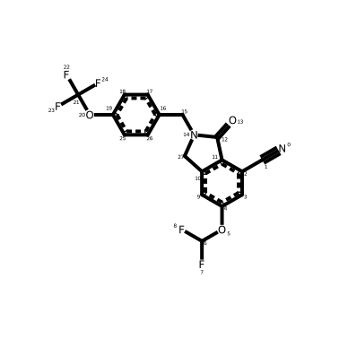 N#Cc1cc(OC(F)F)cc2c1C(=O)N(Cc1ccc(OC(F)(F)F)cc1)C2